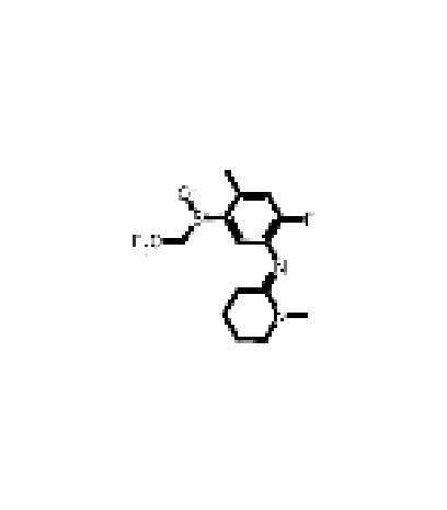 Cc1cc(F)c(/N=C2\CCCCN2C)cc1[S+]([O-])CC(F)(F)F